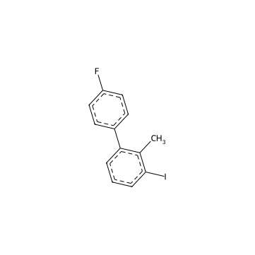 Cc1c(I)cccc1-c1ccc(F)cc1